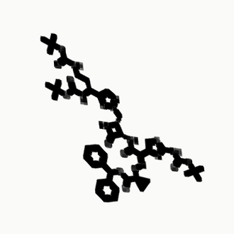 CC(C)(C)OC(=O)NCC[C@H](NC(=O)OC(C)(C)C)c1cnn(C[C@H]2NC(=O)[C@H]2NC(=O)C(=NOC2(C(=O)OC(c3ccccc3)c3ccccc3)CC2)c2csc(NC(=O)OC(C)(C)C)n2)n1